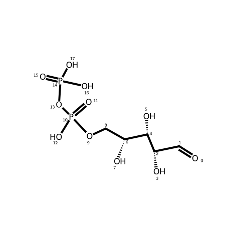 O=C[C@H](O)[C@@H](O)[C@H](O)COP(=O)(O)OP(=O)(O)O